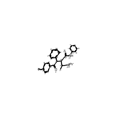 Cc1ccc(C(=O)C(c2ccccc2)C(C(=O)Nc2ccccc2)C(C)C(C)C)cc1